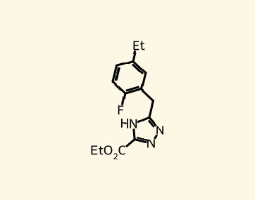 CCOC(=O)c1nnc(Cc2cc(CC)ccc2F)[nH]1